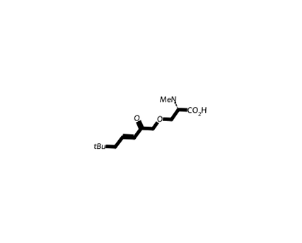 CN[C@@H](COCC(=O)/C=C/CC(C)(C)C)C(=O)O